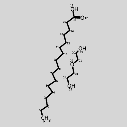 CCCCCCCCCCCCCCCCC(=O)O.OCCOCCO